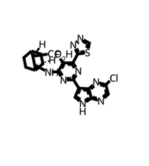 O=C(O)[C@H]1C2CCC(CC2)[C@@H]1Nc1nc(-c2c[nH]c3ncc(Cl)nc23)nc(-c2nncs2)c1F